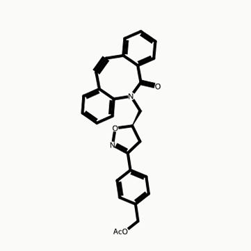 CC(=O)OCc1ccc(C2=NO[C@@H](CN3C(=O)c4ccccc4C#Cc4ccccc43)C2)cc1